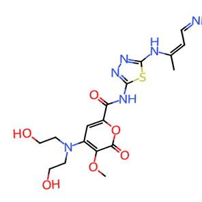 COc1c(N(CCO)CCO)cc(C(=O)Nc2nnc(N/C(C)=C\C=N)s2)oc1=O